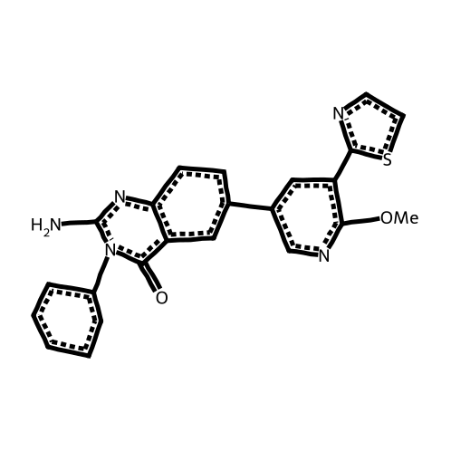 COc1ncc(-c2ccc3nc(N)n(-c4ccccc4)c(=O)c3c2)cc1-c1nccs1